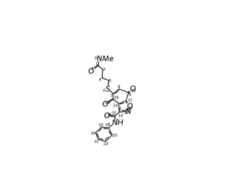 CNC(=O)CCCSC1=CC(=O)c2onc(C(=O)Nc3ccccc3)c2C1=O